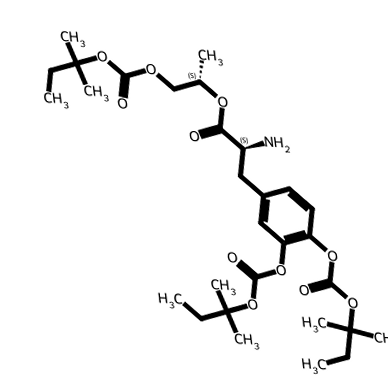 CCC(C)(C)OC(=O)OC[C@H](C)OC(=O)[C@@H](N)Cc1ccc(OC(=O)OC(C)(C)CC)c(OC(=O)OC(C)(C)CC)c1